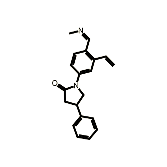 C=Cc1cc(N2CC(c3ccccc3)CC2=O)ccc1/C=N\C